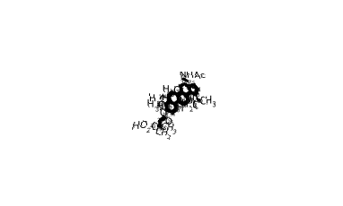 C=C(C)[C@@H]1CC[C@]2(CCNC(C)=O)CC[C@]3(C)[C@H](CC[C@@H]4[C@@]5(C)CC[C@H](OC(=O)CC(C)(C)C(=O)O)C(C)(C)[C@@H]5CC[C@]43C)[C@@H]12